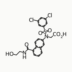 O=C(O)CN(c1ccc2c(C(=O)NCCO)cccc2c1)S(=O)(=O)c1cc(Cl)cc(Cl)c1